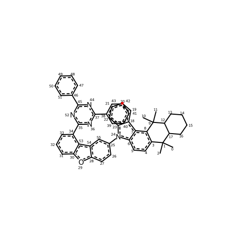 CC1(C)c2ccc3c(c2C(C)(C)C2CCCCC21)c1ccccc1n3-c1ccc2oc3cccc(-c4nc(-c5ccccc5)nc(-c5ccccc5)n4)c3c2c1